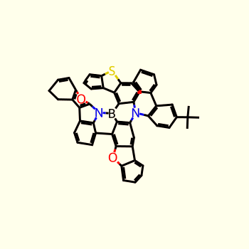 CC(C)(C)c1ccc(N2c3cc4c(oc5ccccc54)c4c3B(c3c2ccc2sc5ccccc5c32)n2c3oc5c(c3c3cccc-4c32)CCC=C5)c(-c2ccccc2)c1